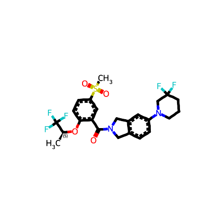 C[C@H](Oc1ccc(S(C)(=O)=O)cc1C(=O)N1Cc2ccc(N3CCCC(F)(F)C3)cc2C1)C(F)(F)F